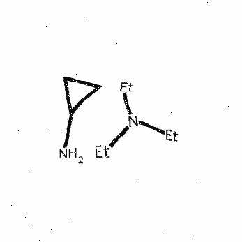 CCN(CC)CC.NC1CC1